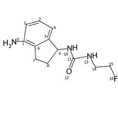 Nc1cccc2c1CCC2NC(=O)NCCF